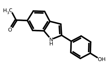 CC(=O)c1ccc2cc(-c3ccc(O)cc3)[nH]c2c1